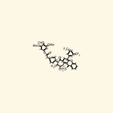 C=C1c2ccccc2Oc2c(-c3cc(C(F)(F)F)cc(C(F)(F)F)c3)cc3c(c21)C[C@@H](C(F)(F)F)C(C)N(c1ccc(CC(=O)Oc2cc(OC)c(C=O)c(OC)c2)cc1)C3=O